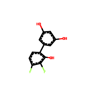 Oc1cc(O)cc(-c2ccc(F)c(F)c2O)c1